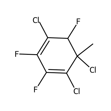 CC1(Cl)C(Cl)=C(F)C(F)=C(Cl)C1F